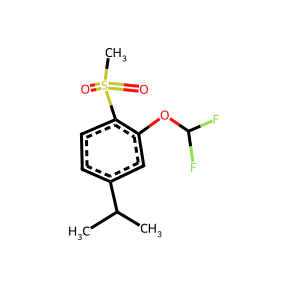 CC(C)c1ccc(S(C)(=O)=O)c(OC(F)F)c1